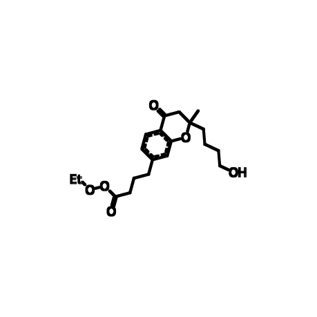 CCOOC(=O)CCCc1ccc2c(c1)OC(C)(CCCCO)CC2=O